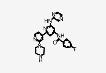 O=C(Nc1cc(Nc2cnccn2)nc(-c2ccnc(N3CCNCC3)c2)c1)c1ccc(F)cc1